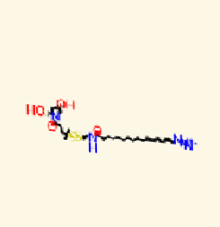 CC(C)(CCC(=O)N1C[C@H](O)C[C@H]1CO)SSCCNC(=O)CCCCCCCCCCCCCCCN=[N+]=[N-]